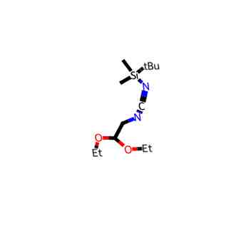 CCOC(CN=C=N[Si](C)(C)C(C)(C)C)OCC